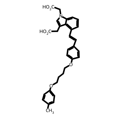 Cc1ccc(OCCCCOc2ccc(C=Cc3cccc4c3c(CC(=O)O)cn4CC(=O)O)cc2)cc1